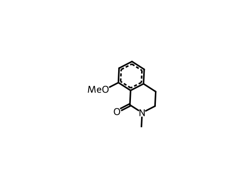 COc1cccc2c1C(=O)N(C)CC2